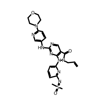 C=CCn1c(=O)c2cnc(Nc3ccc(N4CCOCC4)nc3)nc2n1-c1cccc(N=S(C)(C)=O)n1